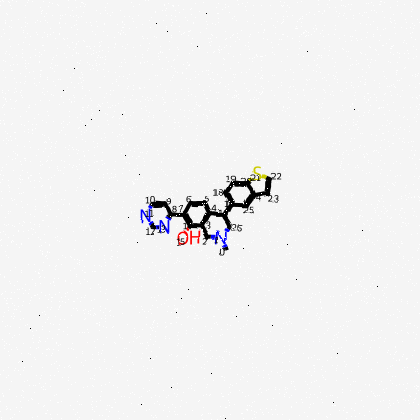 CN1Cc2c(ccc(-c3ccncn3)c2O)C(c2ccc3sccc3c2)C1